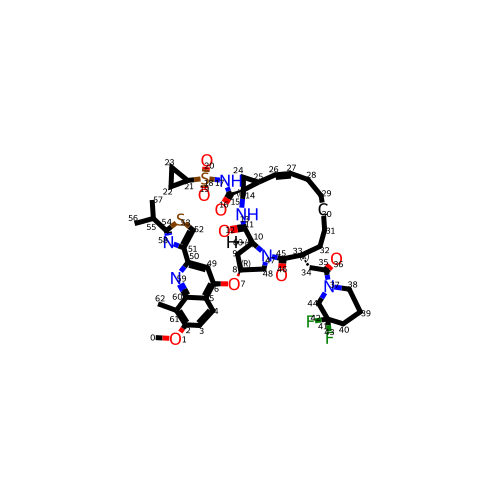 COc1ccc2c(O[C@@H]3C[C@H]4C(=O)N[C@]5(C(=O)NS(=O)(=O)C6CC6)CC5C=CCCCCC[C@H](CC(=O)N5CCCC(F)(F)C5)C(=O)N4C3)cc(-c3csc(C(C)C)n3)nc2c1C